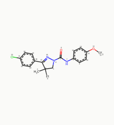 CCC1(C)CN(C(=O)Nc2ccc(OC(F)(F)F)cc2)N=C1c1ccc(Cl)cc1